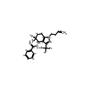 C=CCCn1nc(C(F)(F)F)c2c1CCC(F)(F)[C@H]2OC(=O)c1ccccc1